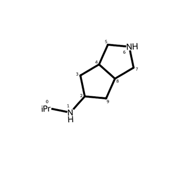 CC(C)NC1CC2CNCC2C1